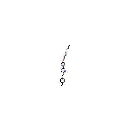 CCCCCCCCCOc1ccc(-c2ncc(CCC3CCC(CC)CC3)cn2)cc1